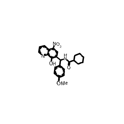 COc1ccc(C(NC(=O)C2CCCCC2)c2cc([N+](=O)[O-])c3cccnc3c2O)cc1